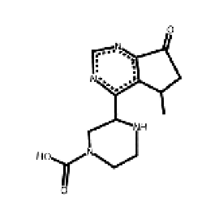 CC1CC(=O)c2ncnc(C3CN(C(=O)O)CCN3)c21